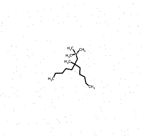 CCCCCC(C)(CCCCC)C[N+](C)(C)C